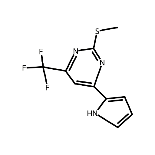 CSc1nc(-c2ccc[nH]2)cc(C(F)(F)F)n1